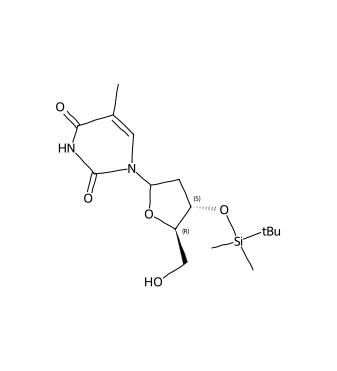 Cc1cn(C2C[C@H](O[Si](C)(C)C(C)(C)C)[C@@H](CO)O2)c(=O)[nH]c1=O